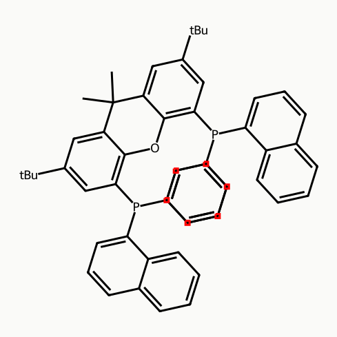 CC(C)(C)c1cc(P(c2ccccc2)c2cccc3ccccc23)c2c(c1)C(C)(C)c1cc(C(C)(C)C)cc(P(c3ccccc3)c3cccc4ccccc34)c1O2